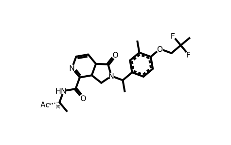 CC(=O)[C@@H](C)NC(=O)C1=NC=CC2C(=O)N(C(C)c3ccc(OCC(C)(F)F)c(C)c3)CC12